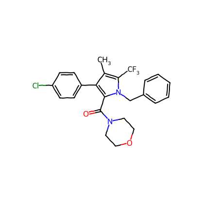 Cc1c(-c2ccc(Cl)cc2)c(C(=O)N2CCOCC2)n(Cc2ccccc2)c1C(F)(F)F